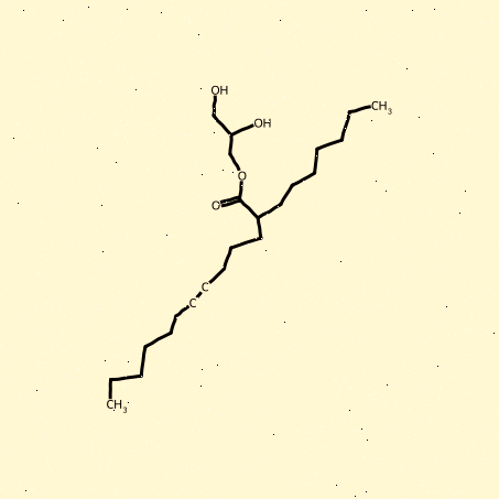 CCCCCCCCCCCC(CCCCCCC)C(=O)OCC(O)CO